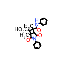 CC1(C(=O)Nc2ccccc2)C(C(=O)O)C2(C)C(=O)N(c3ccccc3)C(=O)C12